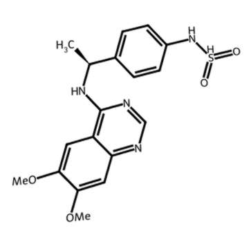 COc1cc2ncnc(N[C@@H](C)c3ccc(N[SH](=O)=O)cc3)c2cc1OC